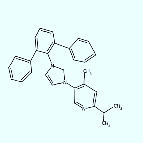 Cc1cc(C(C)C)ncc1N1C=CN(c2c(-c3ccccc3)cccc2-c2ccccc2)C1